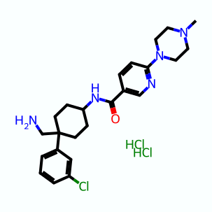 CN1CCN(c2ccc(C(=O)NC3CCC(CN)(c4cccc(Cl)c4)CC3)cn2)CC1.Cl.Cl